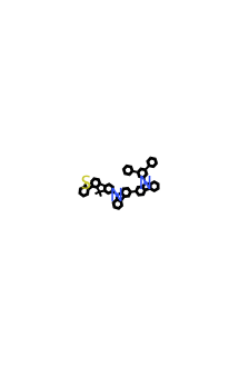 CC1(C)c2cc(-n3c4ccccc4c4cc(-c5ccc6c7ccccc7n(-c7cc(-c8ccccc8)cc(-c8ccccc8)c7)c6c5)ccc43)ccc2-c2ccc3sc4ccccc4c3c21